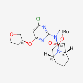 CN(c1nc(Cl)cc(O[C@H]2CCOC2)n1)[C@@H]1C[C@H]2CCC[C@@H](C1)N2C(=O)OC(C)(C)C